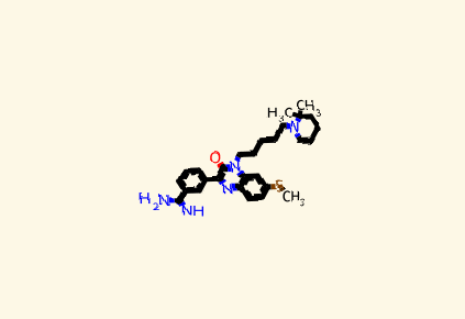 CSc1ccc2nc(-c3cccc(C(=N)N)c3)c(=O)n(CCCCCN3CCCCC3(C)C)c2c1